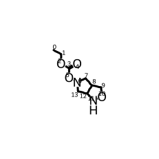 CCOC(=O)ON1CC2CONC2C1